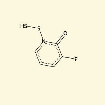 O=c1c(F)cccn1SS